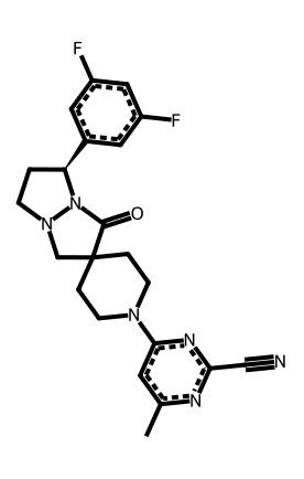 Cc1cc(N2CCC3(CC2)CN2CC[C@@H](c4cc(F)cc(F)c4)N2C3=O)nc(C#N)n1